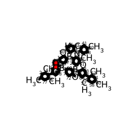 Cc1cc(C)c(-c2cc3c4c(c2)Oc2cc5c(cc2B4c2ccccc2O3)B2c3cc4c(cc3N(c3c(C)cc(C)cc3C)c3cccc(c32)O5)Oc2cc(-c3c(C)cc(C)cc3C)cc3c2B4c2ccccc2O3)c(C)c1